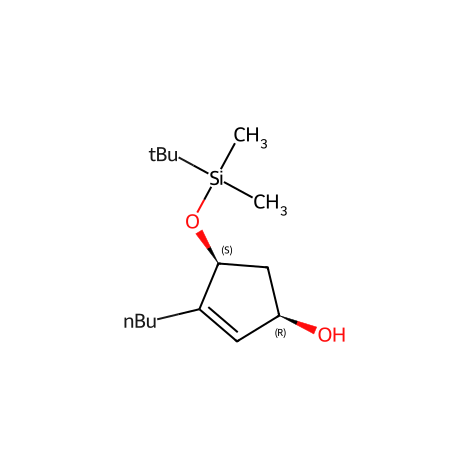 CCCCC1=C[C@H](O)C[C@@H]1O[Si](C)(C)C(C)(C)C